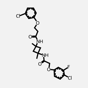 CC1(NC(=O)CCOc2cccc(Cl)c2)CC(C)(NC(=O)COc2ccc(Cl)c(F)c2)C1